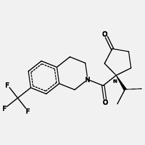 CC(C)[C@]1(C(=O)N2CCc3ccc(C(F)(F)F)cc3C2)CCC(=O)C1